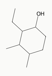 CCC1C(O)CCC(C)C1C